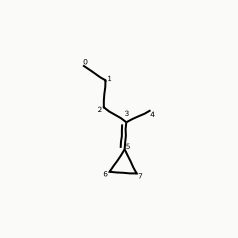 CCCC(C)=C1CC1